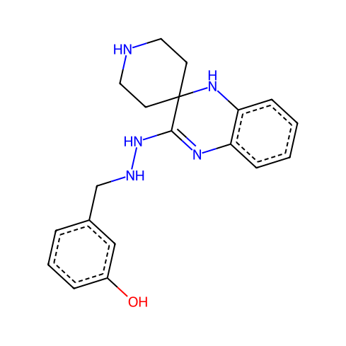 Oc1cccc(CNNC2=Nc3ccccc3NC23CCNCC3)c1